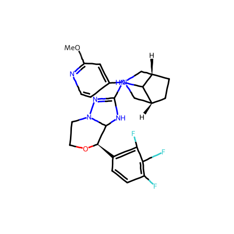 COc1cc(N2C[C@H]3CC[C@@H](C2)C3NC2=NN3CCO[C@H](c4ccc(F)c(F)c4F)C3N2)ccn1